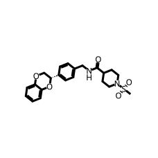 CS(=O)(=O)N1CCC(C(=O)NCc2ccc([C@H]3COc4ccccc4O3)cc2)CC1